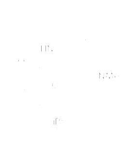 CNC(C)(C)C(C)(C)NC(=O)OC(C)(C)C(C)C